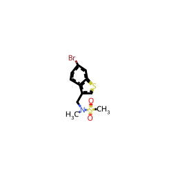 CN(Cc1csc2cc(Br)ccc12)S(C)(=O)=O